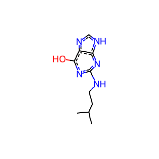 CC(C)CCNc1nc(O)c2nc[nH]c2n1